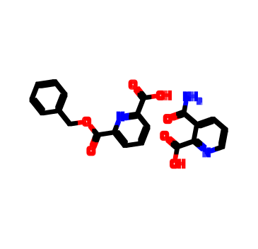 NC(=O)c1cccnc1C(=O)O.O=C(O)c1cccc(C(=O)OCc2ccccc2)n1